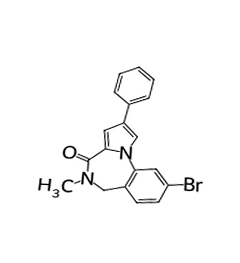 CN1Cc2ccc(Br)cc2-n2cc(-c3ccccc3)cc2C1=O